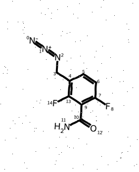 [N-]=[N+]=NCc1ccc(F)c(C(N)=O)c1F